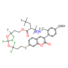 COc1ccc(-c2cc3ccc(SCCC(F)(F)OC(F)(F)OC(F)(F)CCOC(=O)C(CC(C)(C)I)C(C)(C)N)cc3oc2=O)c(C(F)(F)F)c1